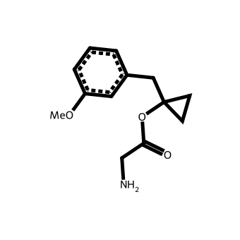 COc1cccc(CC2(OC(=O)CN)CC2)c1